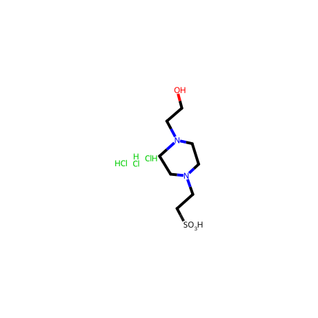 Cl.Cl.Cl.O=S(=O)(O)CCN1CCN(CCO)CC1